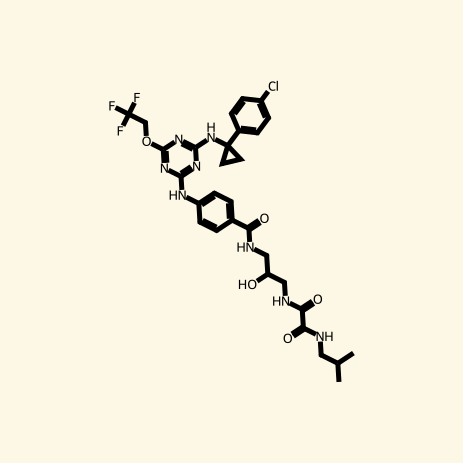 CC(C)CNC(=O)C(=O)NCC(O)CNC(=O)c1ccc(Nc2nc(NC3(c4ccc(Cl)cc4)CC3)nc(OCC(F)(F)F)n2)cc1